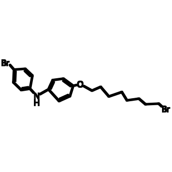 BrCCCCCCCCOc1ccc(Nc2ccc(Br)cc2)cc1